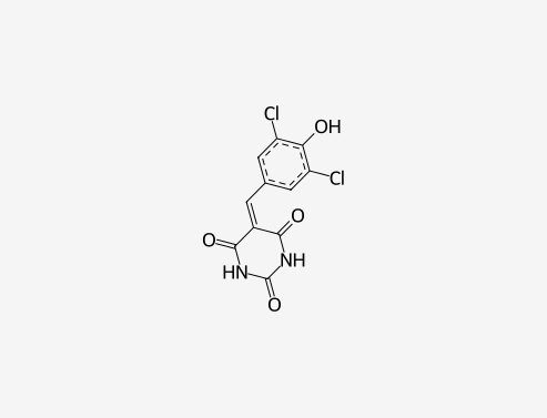 O=C1NC(=O)C(=Cc2cc(Cl)c(O)c(Cl)c2)C(=O)N1